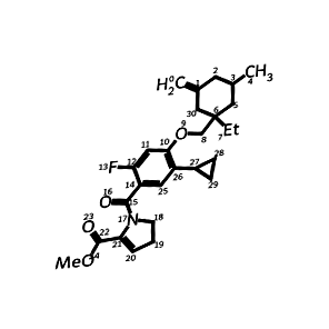 C=C1CC(C)CC(CC)(COc2cc(F)c(C(=O)N3CCC=C3C(=O)OC)cc2C2CC2)C1